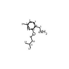 Cc1ccc(CN)c(OCCC(C)C)n1